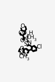 CN1CCOc2cc(-c3ccc(Cl)cc3-c3csc(N(C)C(=O)C(CC(=O)O)CC4CCOCC4)n3)cnc21